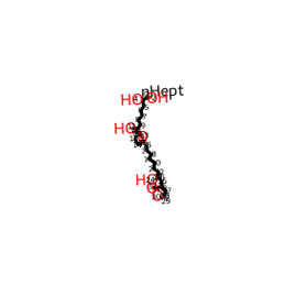 CCCCCCCC(O)C(O)CCCCC[C@H](O)[C@@H]1CC[C@@H](CCCCCCC[C@@H](O)CC2=C[C@H](C)OC2=O)O1